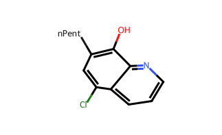 CCCCCc1cc(Cl)c2cccnc2c1O